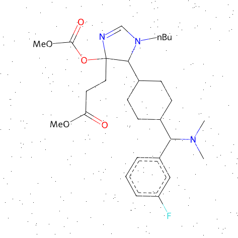 CCCCN1C=NC(CCC(=O)OC)(OC(=O)OC)C1C1CCC(C(c2cccc(F)c2)N(C)C)CC1